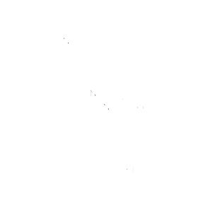 Cc1ccc(N2N=C(c3cccnc3)CC2=O)cc1Cl